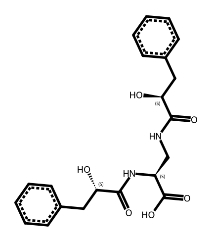 O=C(O)[C@H](CNC(=O)[C@@H](O)Cc1ccccc1)NC(=O)[C@@H](O)Cc1ccccc1